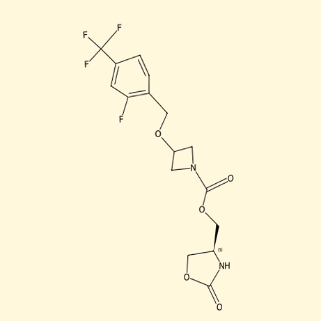 O=C1N[C@H](COC(=O)N2CC(OCc3ccc(C(F)(F)F)cc3F)C2)CO1